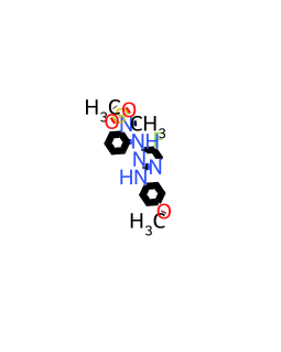 COc1ccc(Nc2ncc(F)c(Nc3ccccc3N(C)S(C)(=O)=O)n2)cc1